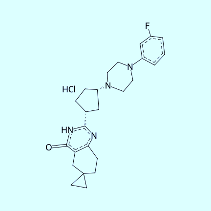 Cl.O=c1[nH]c([C@@H]2CC[C@H](N3CCN(c4cccc(F)c4)CC3)C2)nc2c1CC1(CC2)CC1